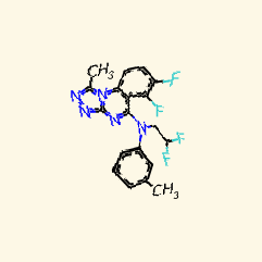 Cc1cccc(N(CC(F)F)c2nc3nnc(C)n3c3ccc(F)c(F)c23)c1